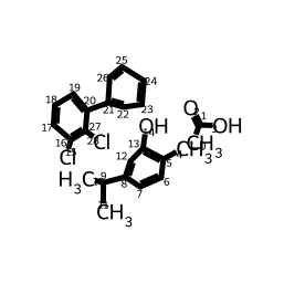 CC(=O)O.Cc1ccc(C(C)C)cc1O.Clc1cccc(-c2ccccc2)c1Cl